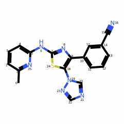 Cc1cccc(Nc2nc(-c3cccc(C#N)c3)c(-n3cncn3)s2)n1